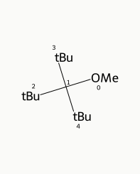 COC(C(C)(C)C)(C(C)(C)C)C(C)(C)C